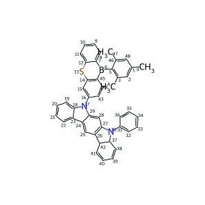 Cc1cc(C)c(B2c3ccccc3Sc3cc(-n4c5ccccc5c5cc6c(cc54)N(c4ccccc4)C4C=CC=CC64)ccc32)c(C)c1